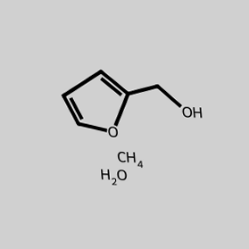 C.O.OCc1ccco1